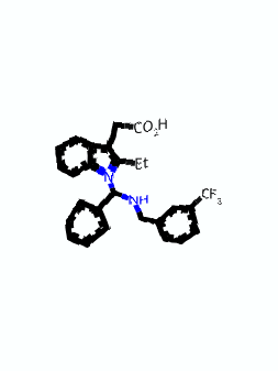 CCc1c(CC(=O)O)c2ccccc2n1C(NCc1cccc(C(F)(F)F)c1)c1ccccc1